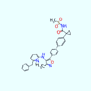 Cc1noc(-c2ccc(-c3ccc(C4(C(=O)NS(C)(=O)=O)CC4)cc3)cc2)c1Nc1cccc(Cc2ccccc2)n1